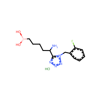 Cl.NC(CCCCB(O)O)c1nnnn1Cc1ccccc1F